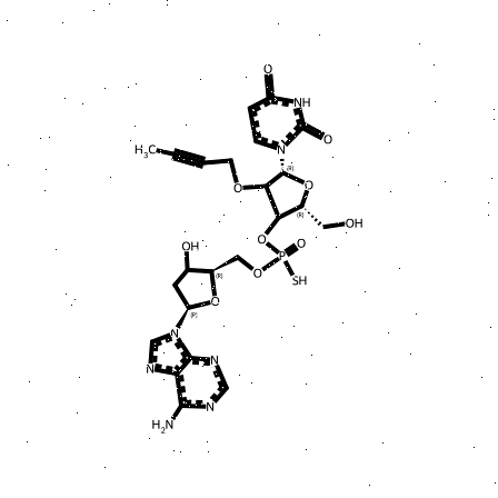 CC#CCOC1C(OP(=O)(S)OC[C@H]2O[C@@H](n3cnc4c(N)ncnc43)CC2O)[C@@H](CO)O[C@H]1n1ccc(=O)[nH]c1=O